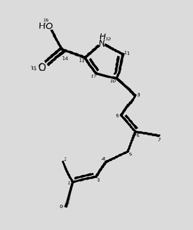 CC(C)=CCC/C(C)=C/Cc1c[nH]c(C(=O)O)c1